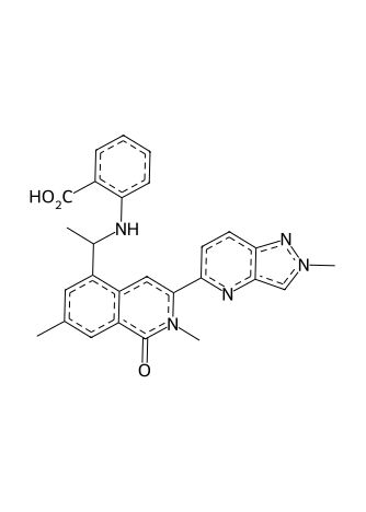 Cc1cc(C(C)Nc2ccccc2C(=O)O)c2cc(-c3ccc4nn(C)cc4n3)n(C)c(=O)c2c1